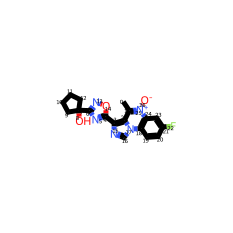 Cc1c2c(-c3nc(C4(O)CCCC4)no3)ncn2c2ccc(F)cc2[n+]1[O-]